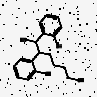 S[CH]CCCC([C](S)c1ccccc1S)c1ccccc1S